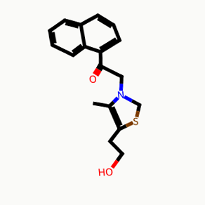 CC1=C(CCO)SCN1CC(=O)c1cccc2ccccc12